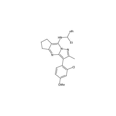 CCCC(CC)Nc1c2c(nc3c(-c4ccc(OC)cc4Cl)c(C)nn13)CCC2